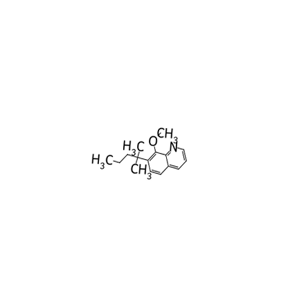 CCCC(C)(C)c1ccc2cccnc2c1OC